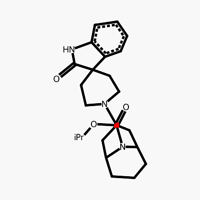 CC(C)OC(=O)N1C2CCCC1CC(N1CCC3(CC1)C(=O)Nc1ccccc13)C2